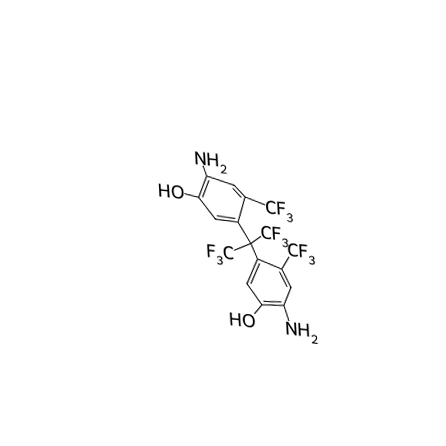 Nc1cc(C(F)(F)F)c(C(c2cc(O)c(N)cc2C(F)(F)F)(C(F)(F)F)C(F)(F)F)cc1O